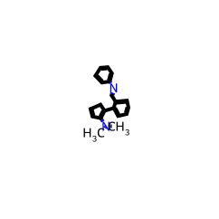 CN(C)C1=C(c2ccccc2C=Nc2ccccc2)CC=C1